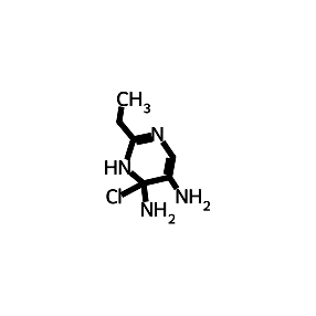 CCC1=NC=C(N)C(N)(Cl)N1